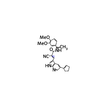 COc1ccc([C@@H](C)NC(=O)/C(C#N)=C/c2c[nH]c3ncc(C4=CCCC4)cc23)cc1OC